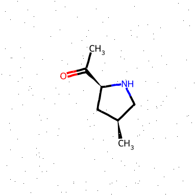 CC(=O)[C@@H]1C[C@H](C)CN1